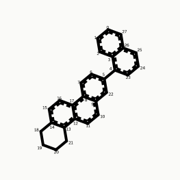 c1ccc2c(-c3ccc4c(ccc5c6c(ccc54)CCCC6)c3)cccc2c1